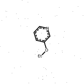 C[CH]Oc1cccnc1